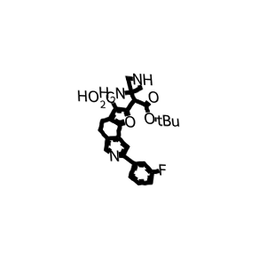 CC(C)(C)OC(=O)C(c1oc2c(c1C(=O)O)CCc1cnc(-c3cccc(F)c3)cc1-2)C1(N)CNC1